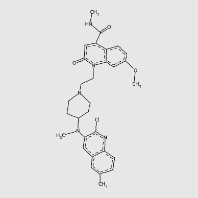 CNC(=O)c1cc(=O)n(CCN2CCC(N(C)c3cc4cc(C)ccc4nc3Cl)CC2)c2cc(OC)ccc12